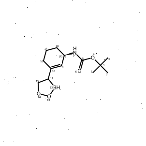 CC(C)(C)OC(=O)N[C@H]1C=C(C2BOOC2)CCC1